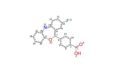 O=C(O)c1ccc(C2=c3cc(F)ccc3=Nc3ccccc3O2)cc1